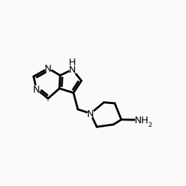 NC1CCN(Cc2c[nH]c3ncn[c]c23)CC1